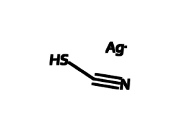 N#CS.[Ag]